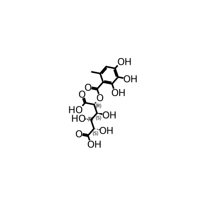 Cc1cc(O)c(O)c(O)c1C(=O)O[C@@H](C(=O)O)[C@@H](O)[C@@H](O)[C@H](O)C(=O)O